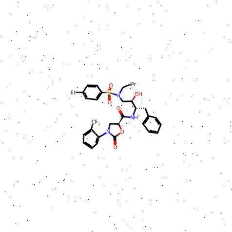 CCc1ccc(S(=O)(=O)N(CC(C)C)C[C@@H](O)[C@H](Cc2ccccc2)NC(=O)[C@@H]2CN(c3ccccc3C(F)(F)F)C(=O)O2)cc1